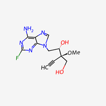 C#C[C@](CO)(OC)[C@@H](O)Cn1cnc2c(N)nc(F)nc21